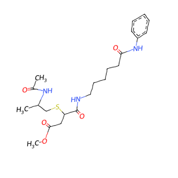 COC(=O)CC(SCC(C)NC(C)=O)C(=O)NCCCCCC(=O)Nc1ccccc1